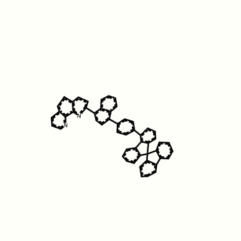 c1ccc2c(c1)-c1ccccc1C21c2ccccc2-c2c(-c3ccc(-c4ccc(-c5ccc6ccc7cccnc7c6n5)c5ccccc45)cc3)cccc21